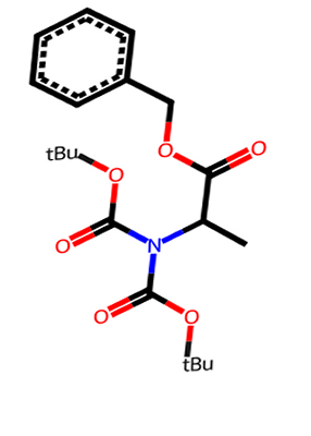 CC(C(=O)OCc1ccccc1)N(C(=O)OC(C)(C)C)C(=O)OC(C)(C)C